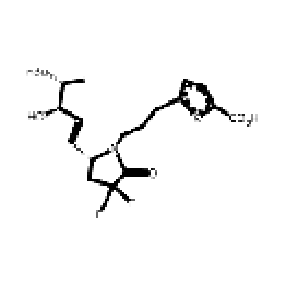 CCCC[C@H](C)[C@H](O)C=C[C@H]1CC(F)(F)C(=O)N1CCCc1ccc(C(=O)O)s1